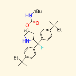 CCCCNC(=O)O[C@H]1CNC(C(F)(c2ccc(C(C)(C)CC)cc2)c2ccc(C(C)(C)CC)cc2)C1